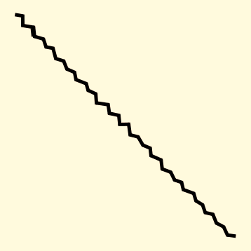 CCCC=CCCCCCCCCCCCCCCCCCCCCCCCCCCCCCCCCCCCCC